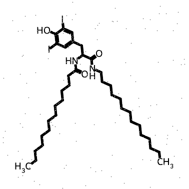 CCCCCCCCCCCCCCNC(=O)C(Cc1cc(I)c(O)c(I)c1)NC(=O)CCCCCCCCCCCCC